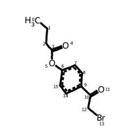 CCCC(=O)Oc1ccc(C(=O)CBr)cc1